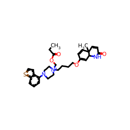 CCC(=O)OC[N+]1(CCCCOC2=CC3NC(=O)C=CC3(C)C=C2)CCN(c2cccc3sccc23)CC1